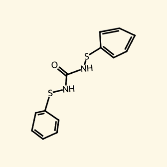 O=C(NSc1ccccc1)NSc1ccccc1